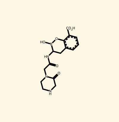 O=C(CN1CCNCC1=O)NC1Cc2cccc(C(=O)O)c2OB1O